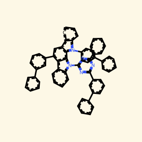 c1ccc(-c2ccc(-n3c4ccccc4c4cc(-c5cccc(-c6ccccc6)c5)c5c6ccccc6n(-c6nc(-c7ccccc7)nc(-c7cccc(-c8ccccc8)c7)n6)c5c43)cc2)cc1